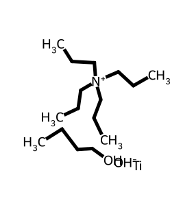 CCCCO.CCC[N+](CCC)(CCC)CCC.[OH-].[Ti]